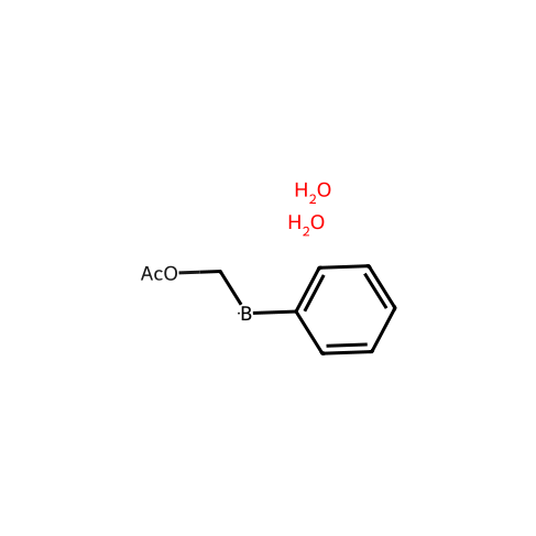 CC(=O)OC[B]c1ccccc1.O.O